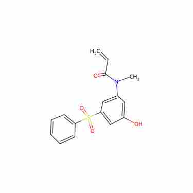 C=CC(=O)N(C)c1cc(O)cc(S(=O)(=O)c2ccccc2)c1